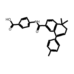 Cc1ccc(C2=CCC(C)(C)c3ccc(C(=O)Nc4ccc(C(=O)O)cc4)cc32)cc1